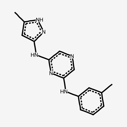 Cc1cccc(Nc2cncc(Nc3cc(C)[nH]n3)n2)c1